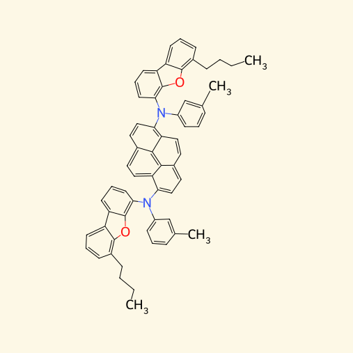 CCCCc1cccc2c1oc1c(N(c3cccc(C)c3)c3ccc4ccc5c(N(c6cccc(C)c6)c6cccc7c6oc6c(CCCC)cccc67)ccc6ccc3c4c65)cccc12